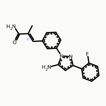 C/C(=C\c1cccc(-n2nc(-c3ccccc3F)cc2N)c1)C(N)=O